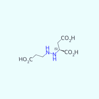 O=C(O)CCNN[C@@H](CC(=O)O)C(=O)O